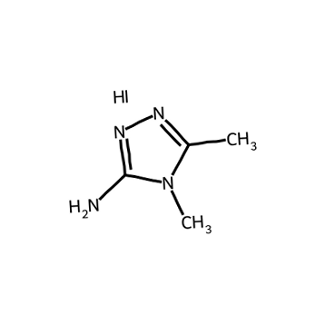 Cc1nnc(N)n1C.I